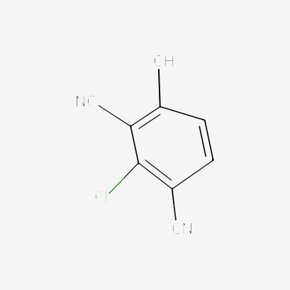 Cc1ccc(C#N)c(Cl)c1C#N